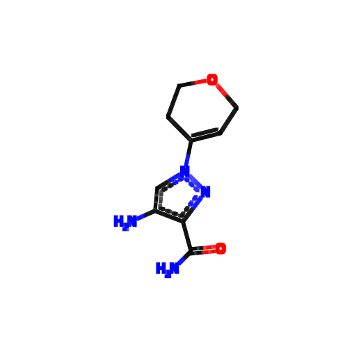 NC(=O)c1nn(C2=CCOCC2)cc1N